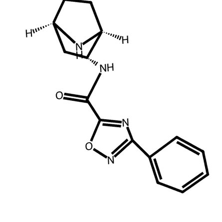 O=C(N[C@@H]1C[C@H]2CC[C@@H]1N2)c1nc(-c2ccccc2)no1